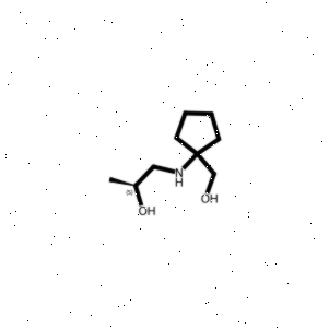 C[C@H](O)CNC1(CO)CCCC1